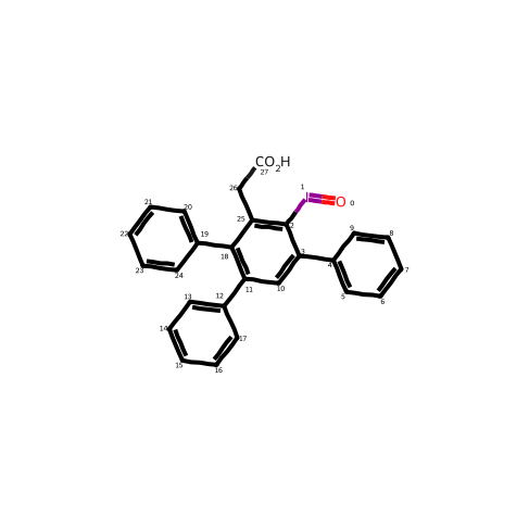 O=Ic1c(-c2ccccc2)cc(-c2ccccc2)c(-c2ccccc2)c1CC(=O)O